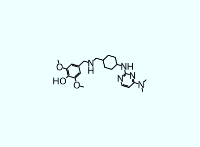 COc1cc(CNCC2CCC(Nc3nccc(N(C)C)n3)CC2)cc(OC)c1O